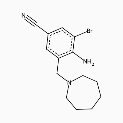 N#Cc1cc(Br)c(N)c(CN2CCCCCC2)c1